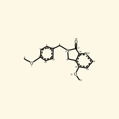 COc1ccc(CN2Cc3c(OC)ccnc3C2=O)cc1